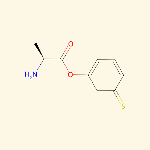 C[C@H](N)C(=O)OC1=CC=CC(=S)C1